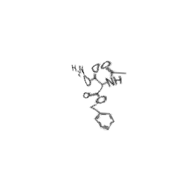 CC(=O)NC(C(=O)ON)C(=O)OCc1ccccc1